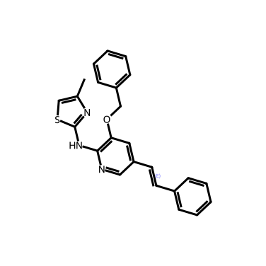 Cc1csc(Nc2ncc(/C=C/c3ccccc3)cc2OCc2ccccc2)n1